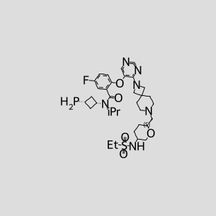 CCS(=O)(=O)NC1CC[C@@H](CN2CCC3(CC2)CN(c2ncncc2Oc2ccc(F)cc2C(=O)N(C(C)C)[C@H]2C[C@@H](P)C2)C3)OC1